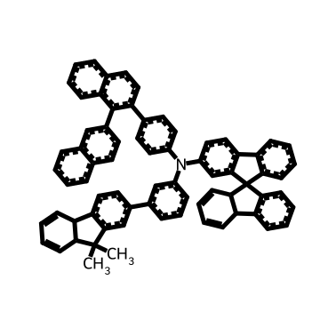 CC1(C)c2cc(-c3cccc(N(c4ccc(-c5ccc6ccccc6c5-c5ccc6ccccc6c5)cc4)c4ccc5c(c4)C4(c6ccccc6-5)c5ccccc5C5C=CC=CC54)c3)ccc2C2C=CC=CC21